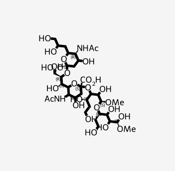 CO[C@@H](O[C@H](CCO)C(O)C(O)[C@H](O)OC)C(O)C(O[C@]1(C(=O)O)CC(O)C(NC(C)=O)C([C@H](O)[C@@H](CO)O[C@]2(C(=O)O)CC(O)[C@@H](NC(C)=O)C(CC(O)CO)O2)O1)[C@@H](O)CCO